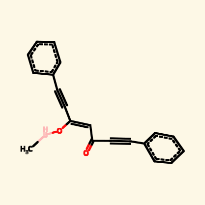 CBO/C(C#Cc1ccccc1)=C\C(=O)C#Cc1ccccc1